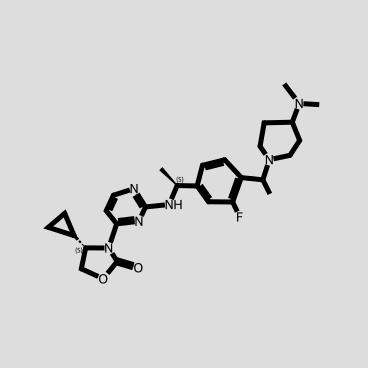 CC(c1ccc([C@H](C)Nc2nccc(N3C(=O)OC[C@@H]3C3CC3)n2)cc1F)N1CCC(N(C)C)CC1